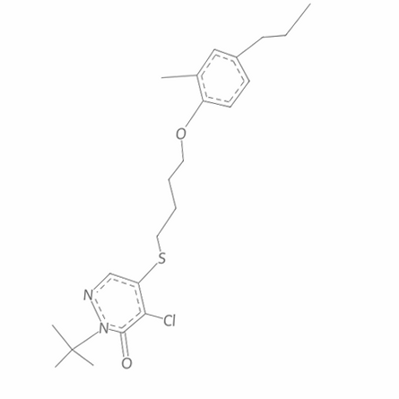 CCCc1ccc(OCCCCSc2cnn(C(C)(C)C)c(=O)c2Cl)c(C)c1